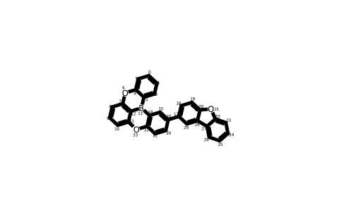 c1ccc2c(c1)Oc1cccc3c1B2c1cc(-c2ccc4oc5ccccc5c4c2)ccc1O3